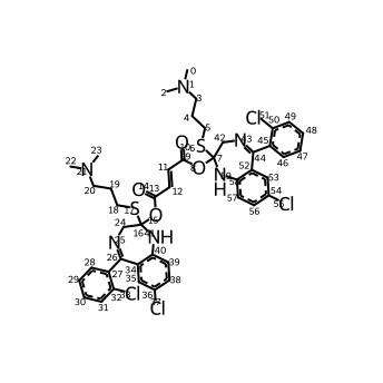 CN(C)CCCSC1(OC(=O)/C=C/C(=O)OC2(SCCCN(C)C)CN=C(c3ccccc3Cl)c3cc(Cl)ccc3N2)CN=C(c2ccccc2Cl)c2cc(Cl)ccc2N1